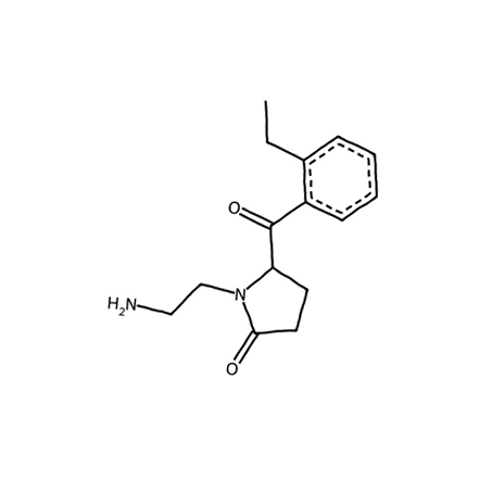 CCc1ccccc1C(=O)C1CCC(=O)N1CCN